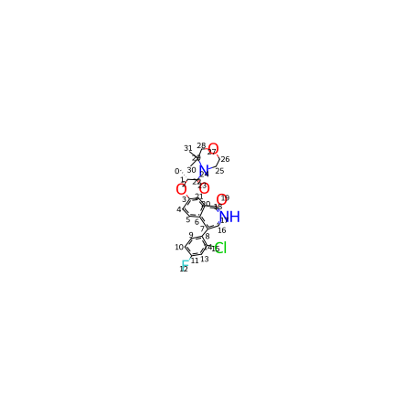 C[C@@H](Oc1ccc2c(-c3ccc(F)cc3Cl)c[nH]c(=O)c2c1)C(=O)N1CCOCC1(C)C